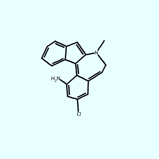 CN1CC=c2cc(Cl)cc(N)c2=C2C1=Cc1ccccc12